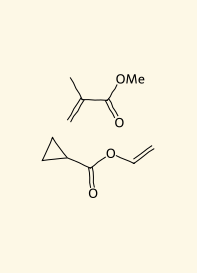 C=C(C)C(=O)OC.C=COC(=O)C1CC1